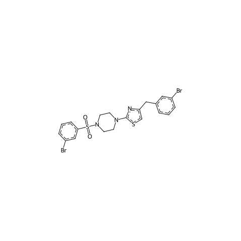 O=S(=O)(c1cccc(Br)c1)N1CCN(c2nc(Cc3cccc(Br)c3)cs2)CC1